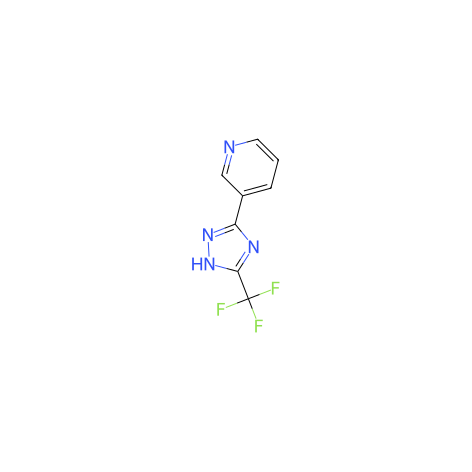 FC(F)(F)c1nc(-c2cccnc2)n[nH]1